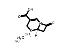 Cl.O.O.O=C(O)C1=CN2C(=O)C[C@H]2SC1